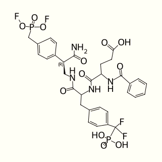 NC(=O)[C@@H](CNC(=O)C(Cc1ccc(C(F)(F)P(=O)(O)O)cc1)NC(=O)C(CCC(=O)O)NC(=O)c1ccccc1)c1ccc(CP(=O)(OF)OF)cc1